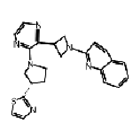 c1ccc2nc(N3CC(c4nccnc4N4CC[C@H](c5nccs5)C4)C3)ccc2c1